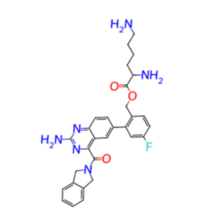 NCCCCC(N)C(=O)OCc1ccc(F)cc1-c1ccc2nc(N)nc(C(=O)N3Cc4ccccc4C3)c2c1